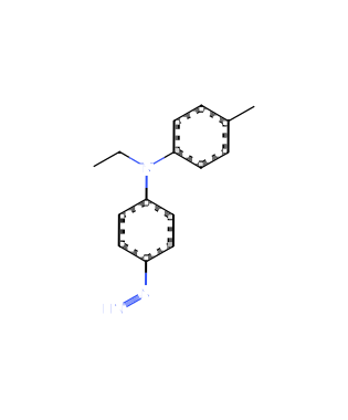 CCN(c1ccc(C)cc1)c1ccc(N=N)cc1